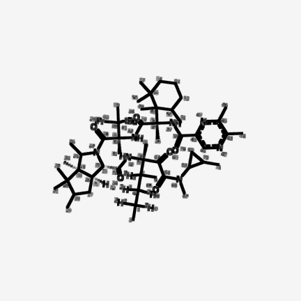 [2H]C([2H])(C)C([2H])([2H])C([2H])(C)[C@](C)(NC(=O)[C@@H]1[C@H]2CC(C)C(C)(C)[C@@]2(C)C(C)N1C(=O)[C@@](C)(NC(=O)[C@@](C)(NC(=O)c1cnc(C)c(C)n1)C1(C)C(C)CCCC1(C)C)C(C)(C(C)C)C(C)(C)C)C(=O)C(=O)N(C)C1CC1C